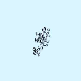 COP(=O)([O-])COC1CCC(n2cc(C)c(=O)[nH]c2=O)O1.[Na+]